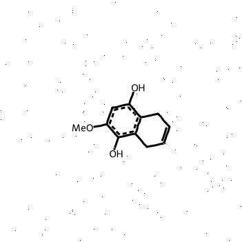 COc1cc(O)c2c(c1O)CC=CC2